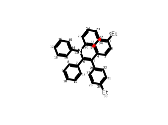 CCc1ccc(C(=C(c2ccccc2)N(c2ccccc2)c2ccccc2)c2ccc(CC)cc2)cc1